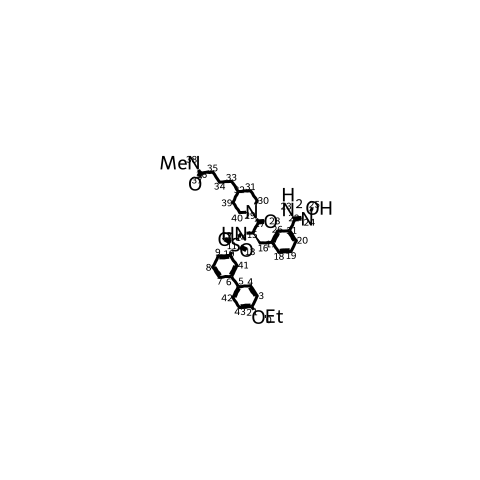 CCOc1ccc(-c2cccc(S(=O)(=O)N[C@H](Cc3cccc(/C(N)=N/O)c3)C(=O)N3CCC(CCCC(=O)NC)CC3)c2)cc1